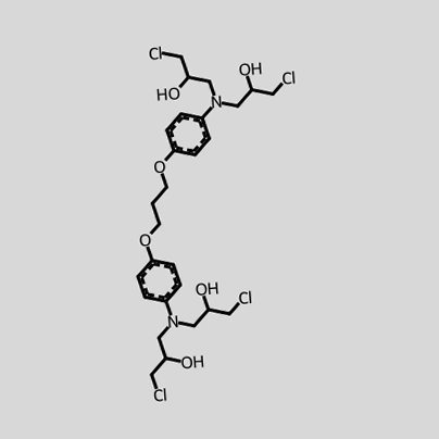 OC(CCl)CN(CC(O)CCl)c1ccc(OCCCOc2ccc(N(CC(O)CCl)CC(O)CCl)cc2)cc1